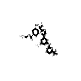 CCOC(=O)[C@H]1CC[C@H](C(O)(CF)c2ncc(-c3cc(C)cc(Nc4nccc(C(F)(F)F)n4)c3)s2)CC1